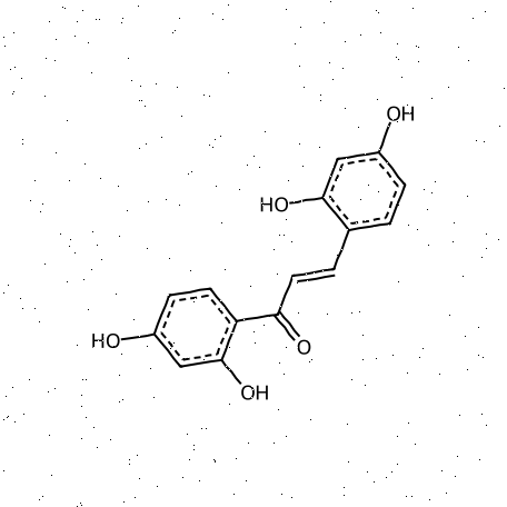 O=C(C=Cc1ccc(O)cc1O)c1ccc(O)cc1O